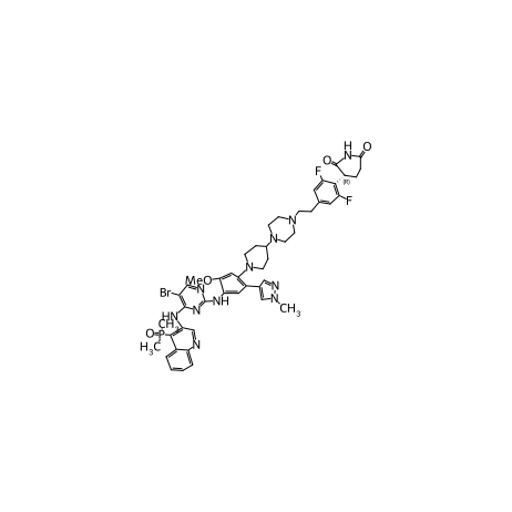 COc1cc(N2CCC(N3CCN(CCc4cc(F)c([C@H]5CCC(=O)NC5=O)c(F)c4)CC3)CC2)c(-c2cnn(C)c2)cc1Nc1ncc(Br)c(Nc2cnc3ccccc3c2P(C)(C)=O)n1